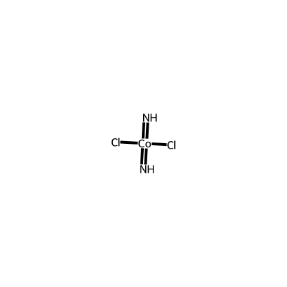 [NH]=[Co](=[NH])([Cl])[Cl]